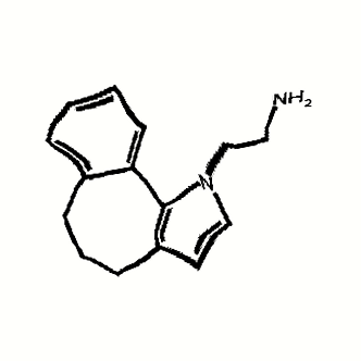 NCCn1ccc2c1-c1ccccc1CCC2